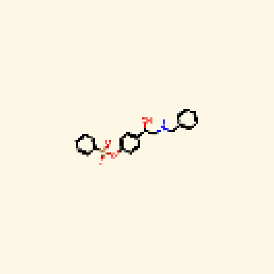 O=S(=O)(Oc1ccc(C(O)CNCc2ccccc2)cc1)c1ccccc1